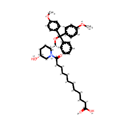 COc1ccc(C(OC[C@H]2CC[C@@H](O)CN2C(=O)CCCCCCCCCCC(=O)O)(c2ccccc2)c2ccc(OC)cc2)cc1